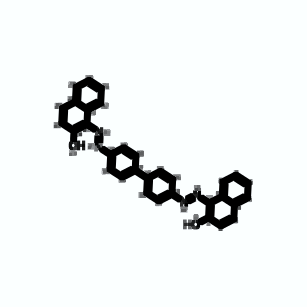 Oc1ccc2ccccc2c1N=Nc1ccc(-c2ccc(N=Nc3c(O)ccc4ccccc34)cc2)cc1